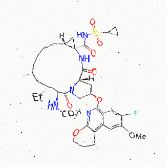 CC[C@@H]1C[C@H](C)CCC=C[C@@H]2C[C@@]2(C(=O)NS(=O)(=O)C2CC2)NC(=O)[C@@H]2C[C@@H](Oc3nc4c(c5cc(OC)c(F)cc35)CCCO4)CN2C(=O)[C@H]1NC(=O)O